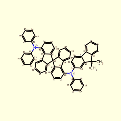 CC1(C)c2ccccc2-c2ccc(N(c3ccccc3)c3cccc4c3-c3ccccc3C43c4ccccc4-c4c(N(c5ccccc5)c5ccccc5)cccc43)cc21